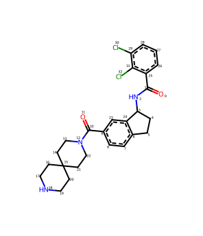 O=C(NC1CCc2ccc(C(=O)N3CCC4(CCNCC4)CC3)cc21)c1cccc(Cl)c1Cl